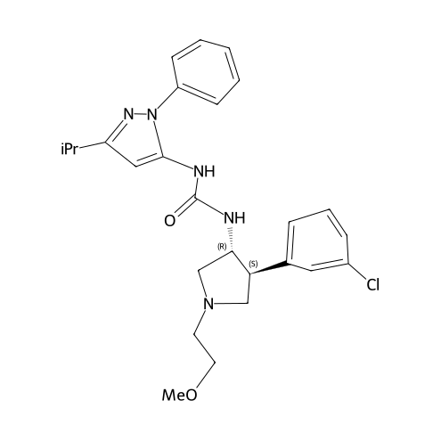 COCCN1C[C@H](NC(=O)Nc2cc(C(C)C)nn2-c2ccccc2)[C@@H](c2cccc(Cl)c2)C1